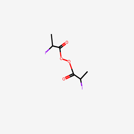 CC(I)C(=O)OOC(=O)C(C)I